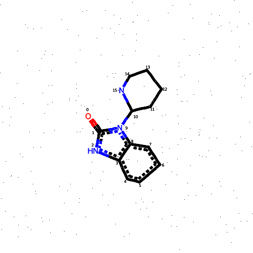 O=c1[nH]c2ccccc2n1C1CCCC[N]1